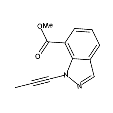 CC#Cn1ncc2cccc(C(=O)OC)c21